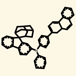 C1=CC2CC(c3ccc(N(c4ccccc4)c4ccc5c(c4)C4(c6ccccc6-5)C5CC6CC(C5)CC4C6)cc3)=CC=C2c2ccccc21